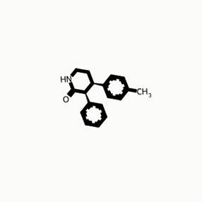 Cc1ccc([C@@H]2CCNC(=O)[C@@H]2c2ccccc2)cc1